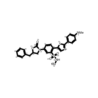 CNc1ccc(-c2ncc(-c3ccc(N4CC(Cc5ccccc5)OC4=O)cc3S(=O)(=O)NC(C)(C)C)s2)cc1